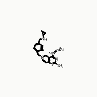 CCCCNc1nc(N)nc2c1CN(Cc1ccc(CNC3CC3)cc1)C=C2